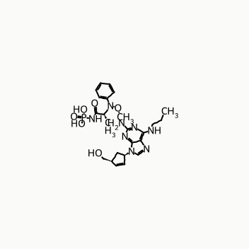 CCCNc1nc(N)nc2c1ncn2[C@H]1C=C[C@@H](CO)C1.CON(c1ccccc1)[C@@H](C)C(=O)NP(=O)(O)O